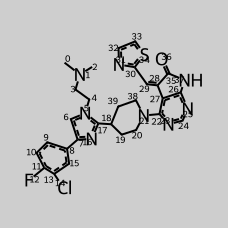 CN(C)CCn1cc(-c2ccc(F)c(Cl)c2)nc1C1CCN(c2ncnc3c2C(=Cc2nccs2)C(=O)N3)CC1